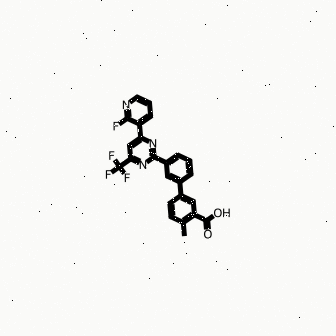 Cc1ccc(-c2cccc(-c3nc(-c4cccnc4F)cc(C(F)(F)F)n3)c2)cc1C(=O)O